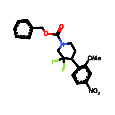 COc1cc([N+](=O)[O-])ccc1C1CCN(C(=O)OCc2ccccc2)CC1(F)F